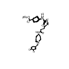 COC(=O)c1ccc(Nc2nnc(CCC(=O)NC3CCN(Cc4ccc(Cl)c(Cl)c4)CC3)o2)cc1